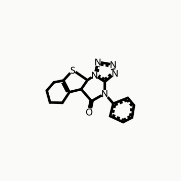 O=C1C2C3=C(CCCC3)SC2n2nnnc2N1c1ccccc1